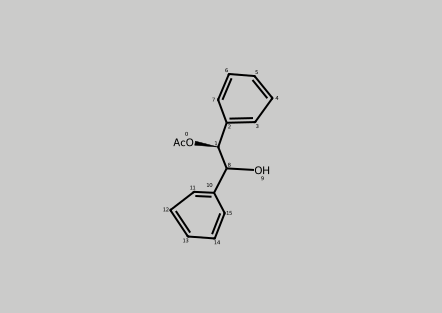 CC(=O)O[C@@H](c1ccccc1)C(O)c1ccccc1